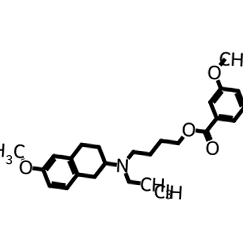 CCN(CCCCOC(=O)c1cccc(OC)c1)C1CCc2cc(OC)ccc2C1.Cl